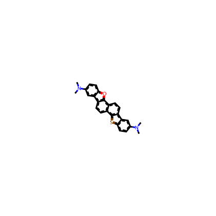 CN(C)c1ccc2oc3c(ccc4c3ccc3c5cc(N(C)C)ccc5sc34)c2c1